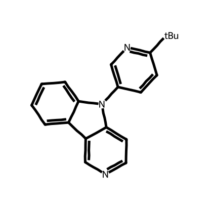 CC(C)(C)c1ccc(-n2c3ccccc3c3cnccc32)cn1